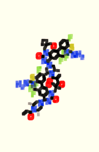 C=CC(=O)N1[C@H](C)CN(c2nc(=O)n3c4c(c(-c5ccc(F)c6sc(N)nc56)c(C(F)(F)F)cc24)OCC2(COC2C(=C)C(=O)N2[C@H](C)CN(c4nc(=O)n5c6c(c(-c7ccc(F)c8sc(N)nc78)c(C(F)(F)F)cc46)OCC4(CCC4)C5)C[C@@H]2C)C3)C[C@@H]1C